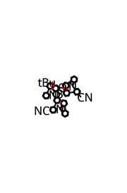 CC(C)(C)c1cc2c3c(c1)N(c1ccccc1-c1ccccc1)c1cc(-c4cc(C#N)ccc4-n4c5ccccc5c5ccccc54)ccc1B3c1ccc(-c3cc(C#N)ccc3-n3c4ccccc4c4ccccc43)cc1O2